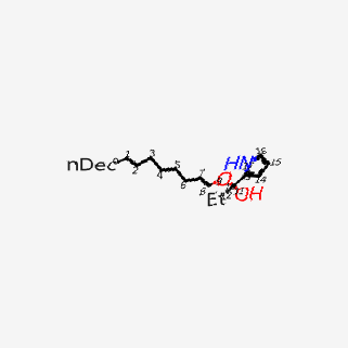 CCCCCCCCCCCCCCCCCCOC(O)(CC)c1ccc[nH]1